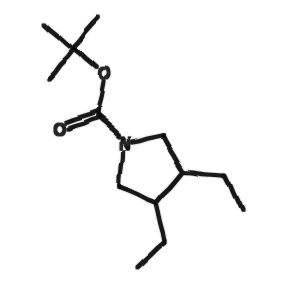 CCC1CN(C(=O)OC(C)(C)C)CC1CC